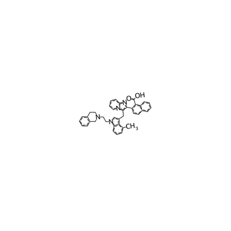 Cc1cccc2c1c(Cc1c(-c3ccc4ccccc4c3C(=O)O)nc3ccccn13)cn2CCN1CCc2ccccc2C1